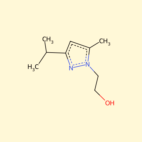 Cc1cc(C(C)C)nn1CCO